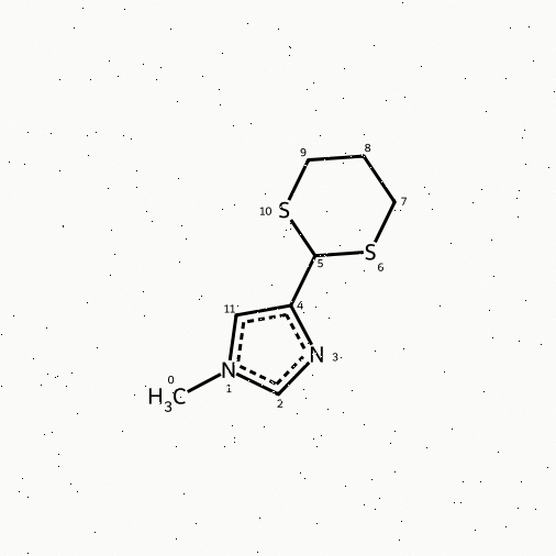 Cn1cnc(C2SCCCS2)c1